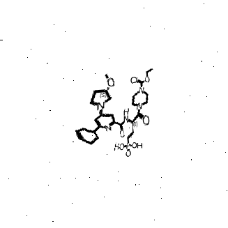 CCOC(=O)N1CCN(C(=O)[C@@H](CCP(=O)(O)O)NC(=O)c2cc(N3CC[C@H](OC)C3)cc(-c3ccccc3)n2)CC1